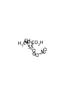 CN(C)C(=O)CCSC(Cc1cccc(Oc2cccc(C=Cc3ccc4ccccc4n3)c2)c1)SCCC(=O)O